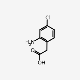 Nc1cc(Cl)ccc1CC(=O)O